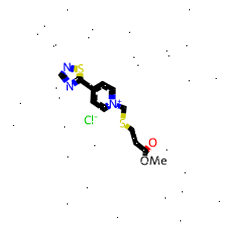 COC(=O)CCSC[n+]1ccc(-c2ncns2)cc1.[Cl-]